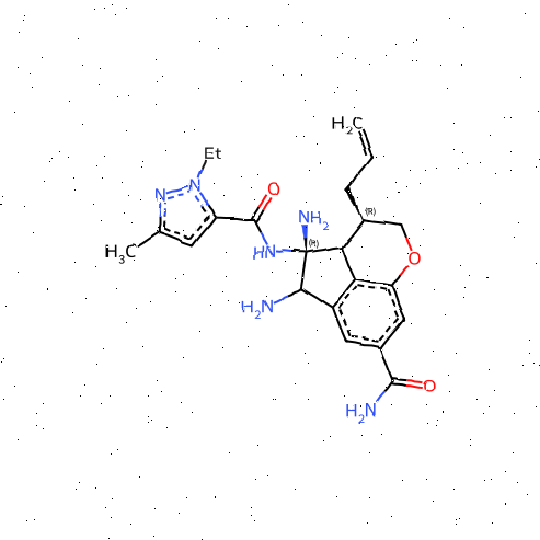 C=CC[C@H]1COc2cc(C(N)=O)cc3c2C1[C@@](N)(NC(=O)c1cc(C)nn1CC)C3N